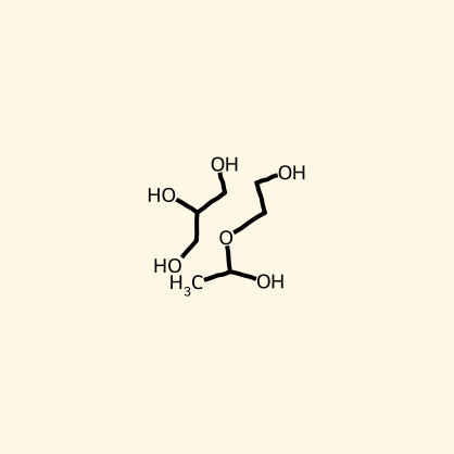 CC(O)OCCO.OCC(O)CO